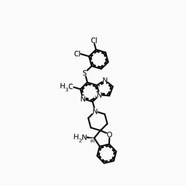 Cc1nc(N2CCC3(CC2)Oc2ccccc2[C@H]3N)n2ccnc2c1Sc1cccc(Cl)c1Cl